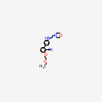 CCOCCOc1cccc(-c2ccc(NCCN3CCOCC3)cc2)c1C#N